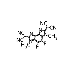 Cn1c(=C(C#N)C#N)nc2c3nc(=C(C#N)C#N)n(C)c3c(F)c(F)c21